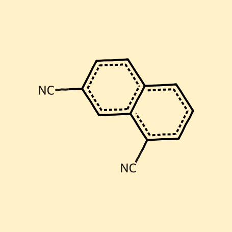 N#Cc1ccc2cccc(C#N)c2c1